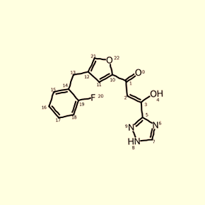 O=C(C=C(O)c1nc[nH]n1)c1cc(Cc2ccccc2F)co1